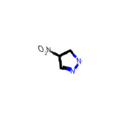 O=[N+]([O-])C1C=N[N]C1